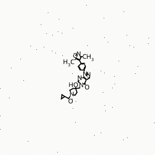 Cc1noc(C)c1-c1ccc(-n2ncc3c(=O)n(CC4(O)CCN(C(=O)C5CC5)CC4)cnc32)cc1